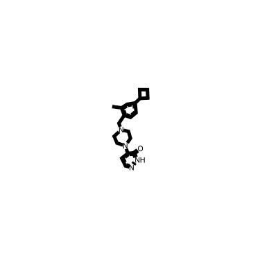 Cc1cc(C2CCC2)ccc1CN1CCN(c2ccn[nH]c2=O)CC1